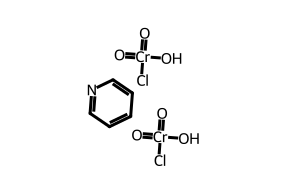 [O]=[Cr](=[O])([OH])[Cl].[O]=[Cr](=[O])([OH])[Cl].c1ccncc1